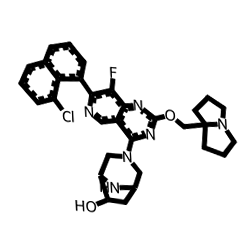 OC1CC2CN(c3nc(OCC45CCCN4CCC5)nc4c(F)c(-c5cccc6cccc(Cl)c56)ncc34)CC1N2